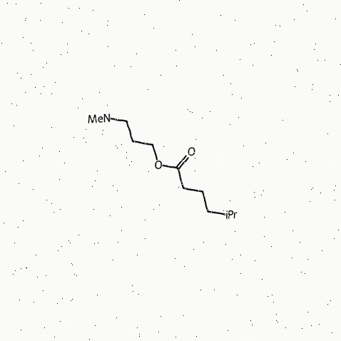 CNCCCOC(=O)CCCC(C)C